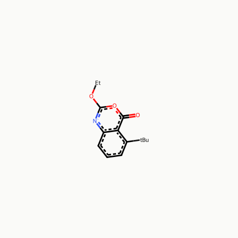 CCOc1nc2cccc(C(C)(C)C)c2c(=O)o1